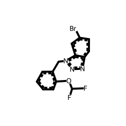 FC(F)Oc1ccccc1Cn1nnc2ccc(Br)cc21